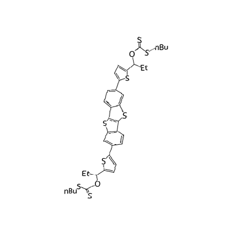 CCCCSC(=S)OC(CC)c1ccc(-c2ccc3c(c2)sc2c4ccc(-c5ccc(C(CC)OC(=S)SCCCC)s5)cc4sc32)s1